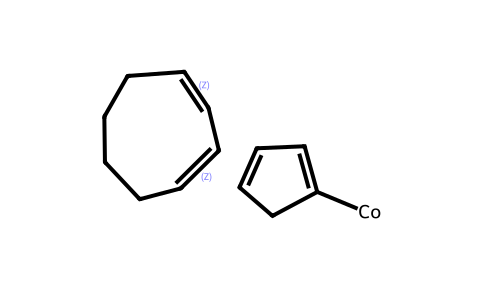 C1=C\CCCC\C=C/1.[Co][C]1=CC=CC1